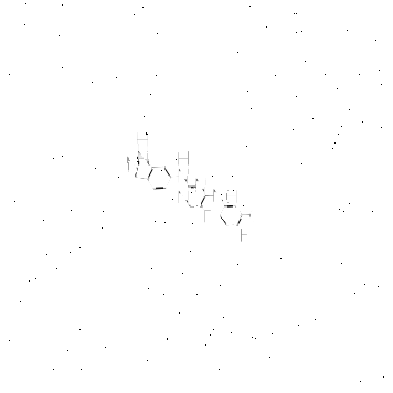 Fc1ccc(Nc2nc(Nc3ccc4cn[nH]c4c3)ncc2F)cc1Cl